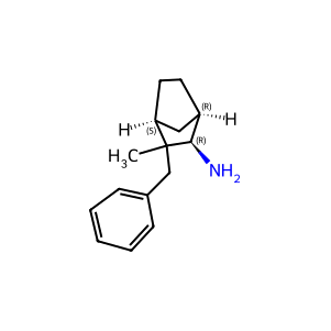 CC1(Cc2ccccc2)[C@H]2CC[C@H](C2)[C@H]1N